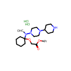 CC(C)OC(=O)COC1(N(C=O)N2CCN(C3CCNCC3)CC2)CCCCC1.Cl.Cl